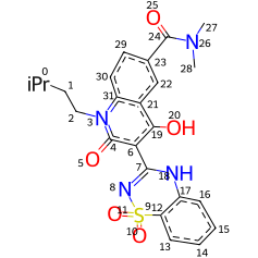 CC(C)CCn1c(=O)c(C2=NS(=O)(=O)c3ccccc3N2)c(O)c2cc(C(=O)N(C)C)ccc21